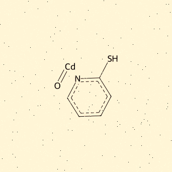 Sc1ccccn1.[O]=[Cd]